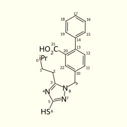 CC(C)CCc1nc(S)nn1Cc1ccc(-c2ccccc2)c(C(=O)O)c1